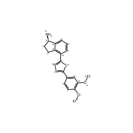 CCOc1ccc(-c2nnc(-c3cccc4c3CC[C@H]4N)s2)cc1OCC